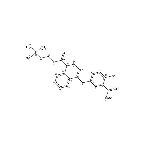 COC(=O)c1cc(CC2=NNC(C(=O)OCC[Si](C)(C)C)c3ccccc32)ccc1Br